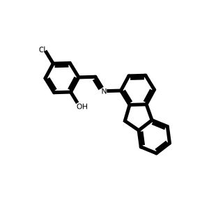 Oc1ccc(Cl)cc1C=Nc1cccc2c1Cc1ccccc1-2